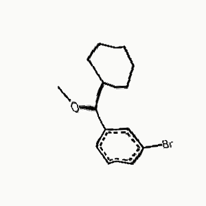 COC(c1cccc(Br)c1)C1CCCCC1